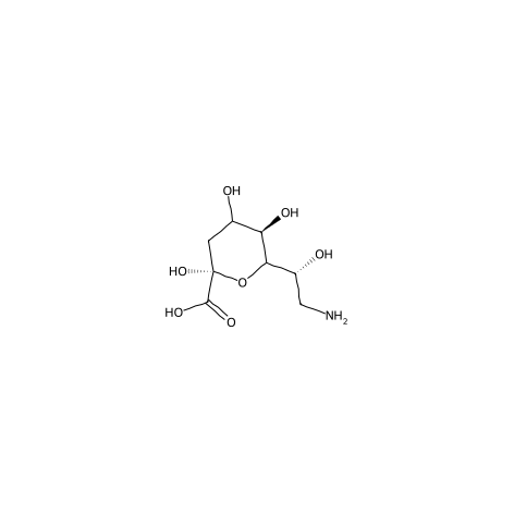 NC[C@@H](O)C1O[C@@](O)(C(=O)O)CC(O)[C@H]1O